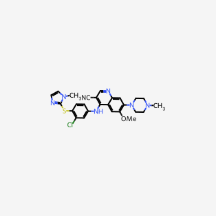 COc1cc2c(Nc3ccc(Sc4nccn4C)c(Cl)c3)c(C#N)cnc2cc1N1CCN(C)CC1